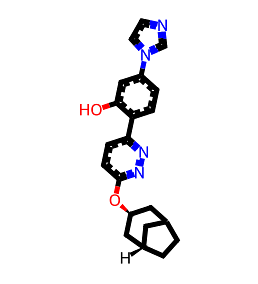 Oc1cc(-n2ccnc2)ccc1-c1ccc(O[C@H]2CC3CC[C@@H](C3)C2)nn1